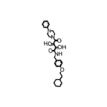 O=C(NCc1ccc(OCCC2CCCCC2)cc1)[C@H](O)[C@@H](O)C(=O)N1CCN(c2ccccc2)CC1